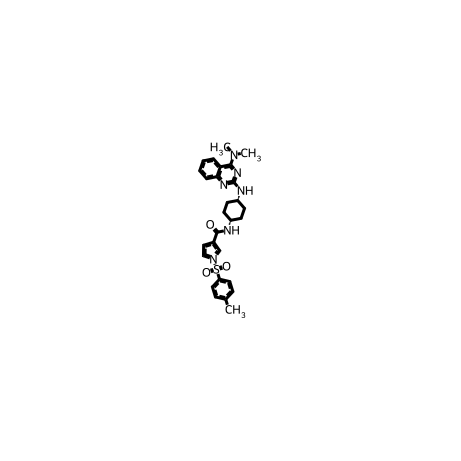 Cc1ccc(S(=O)(=O)n2ccc(C(=O)N[C@H]3CC[C@@H](Nc4nc(N(C)C)c5ccccc5n4)CC3)c2)cc1